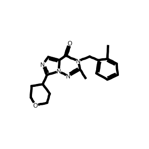 Cc1ccccc1Cn1c(C)nn2c(C3CCOCC3)ncc2c1=O